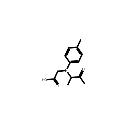 CC(=O)C(C)N(CC(=O)O)c1ccc(C)cc1